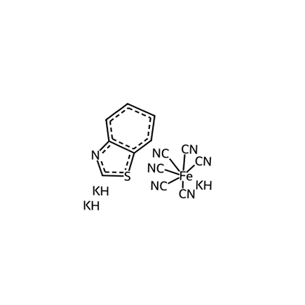 N#[C][Fe]([C]#N)([C]#N)([C]#N)([C]#N)[C]#N.[KH].[KH].[KH].c1ccc2scnc2c1